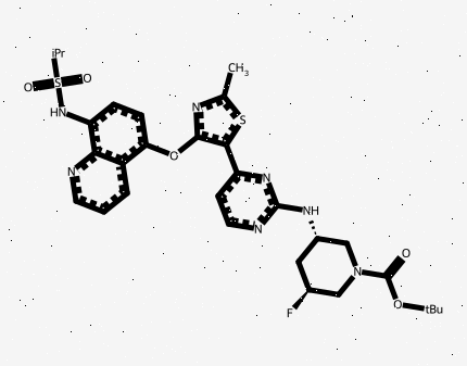 Cc1nc(Oc2ccc(NS(=O)(=O)C(C)C)c3ncccc23)c(-c2ccnc(N[C@H]3C[C@H](F)CN(C(=O)OC(C)(C)C)C3)n2)s1